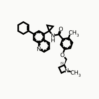 Cc1ccc(OC[C@@H]2CCN2C)cc1C(=O)NC1(c2cc(C3=CCCCC3)cc3ncccc23)CC1